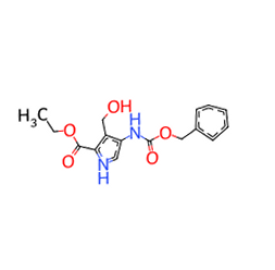 CCOC(=O)c1[nH]cc(NC(=O)OCc2ccccc2)c1CO